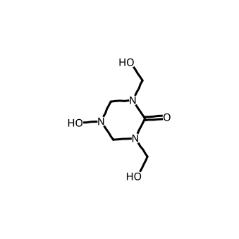 O=C1N(CO)CN(O)CN1CO